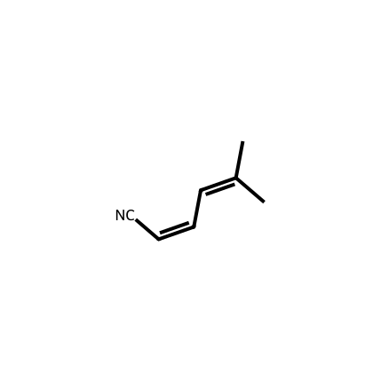 CC(C)=C/C=C\C#N